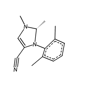 Cc1cccc(C)c1N1C(C#N)=CN(C)[C@@H]1C